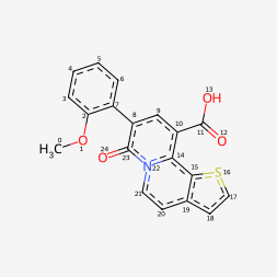 COc1ccccc1-c1cc(C(=O)O)c2c3sccc3ccn2c1=O